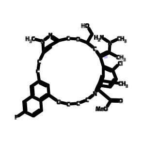 COC(=O)c1c(C)c2c3c(Cl)ccc2n1CCCOc1cc(cc2cc(F)ccc12)CCc1cc(nn1C)COC(CO)C/C3=C(/C)N(C)N